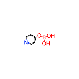 OB(O)Oc1ccncc1